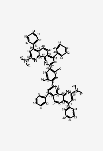 Cc1cc(-c2cc(-c3ccccc3)c3ccc4c(-c5ccccc5)cc(N(C)C)nc4c3n2)c(C)cc1-c1cc(-c2ccccc2)c2ccc3c(-c4ccccc4)cc(N(C)C)nc3c2n1